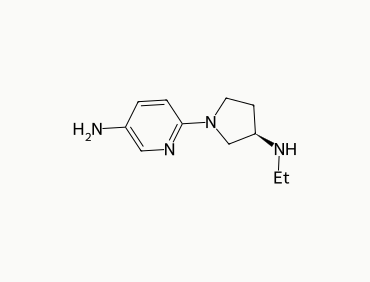 CCN[C@@H]1CCN(c2ccc(N)cn2)C1